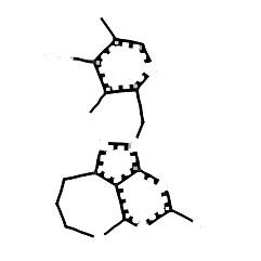 COc1c(C)cnc(Cn2nc3c4c(nc(N)nc42)SCCC3)c1C